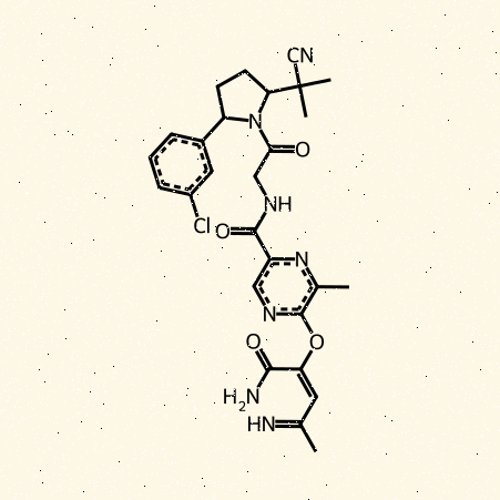 CC(=N)/C=C(/Oc1ncc(C(=O)NCC(=O)N2C(c3cccc(Cl)c3)CCC2C(C)(C)C#N)nc1C)C(N)=O